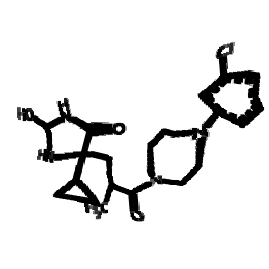 CC(CC1(C2CC2)NC(O)NC1=O)C(=O)N1CCN(c2cccc(Cl)c2)CC1